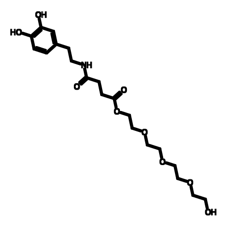 O=C(CCC(=O)OCCOCCOCCOCCO)NCCc1ccc(O)c(O)c1